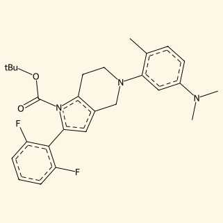 Cc1ccc(N(C)C)cc1N1CCc2c(cc(-c3c(F)cccc3F)n2C(=O)OC(C)(C)C)C1